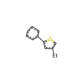 CCc1csc(-c2ccccc2)c1